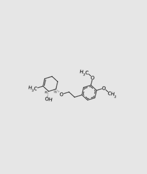 COc1ccc(CCO[C@H]2CCC=C(C)[C@H]2O)cc1OC